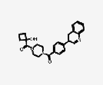 O=C(c1ccc(C2C=Nc3ccccc3C2)cc1)N1CCN(C(=O)C2(O)CCC2)CC1